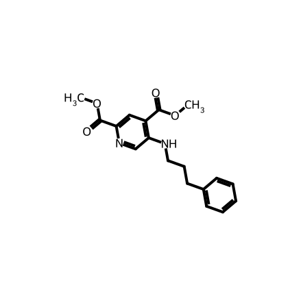 COC(=O)c1cc(C(=O)OC)c(NCCCc2ccccc2)cn1